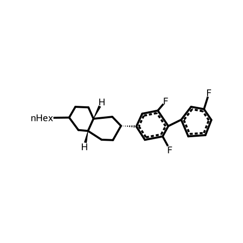 CCCCCCC1CC[C@@H]2C[C@H](c3cc(F)c(-c4cccc(F)c4)c(F)c3)CC[C@@H]2C1